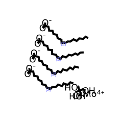 CCCCCCCC/C=C\CCCCCCCC(=O)[O-].CCCCCCCC/C=C\CCCCCCCC(=O)[O-].CCCCCCCC/C=C\CCCCCCCC(=O)[O-].CCCCCCCC/C=C\CCCCCCCC(=O)[O-].OCC(CO)(CO)CO.[Mo+4]